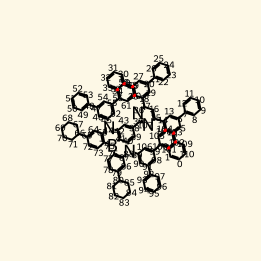 c1ccc(-c2cc(-c3ccccc3)cc(-c3cc(-c4cc(-c5ccccc5)cc(-c5ccccc5)c4)nc(-c4cc5c6c(c4)N(c4cc(-c7ccccc7)cc(-c7ccccc7)c4)c4cc(C7CCCCC7)ccc4B6c4ccc(C6CCCCC6)cc4N5c4cc(-c5ccccc5)cc(-c5ccccc5)c4)n3)c2)cc1